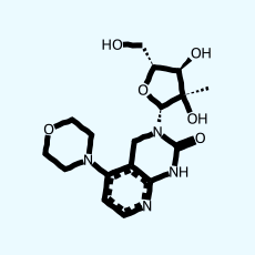 C[C@@]1(O)[C@H](O)[C@@H](CO)O[C@H]1N1Cc2c(N3CCOCC3)ccnc2NC1=O